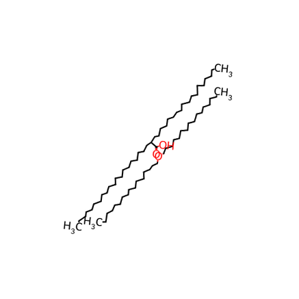 CCCCCCCCCCCCCCCCCCCCC(CCCCCCCCCCCCCCCCCC)C(=O)O.CCCCCCCCCCCCCCCCOCCCCCCCCCCCCCCCC